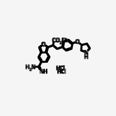 CCOC(=O)C(Cc1ccc(O[C@H]2CCNC2)cc1)c1occ2cc(C(=N)N)ccc12.Cl.Cl